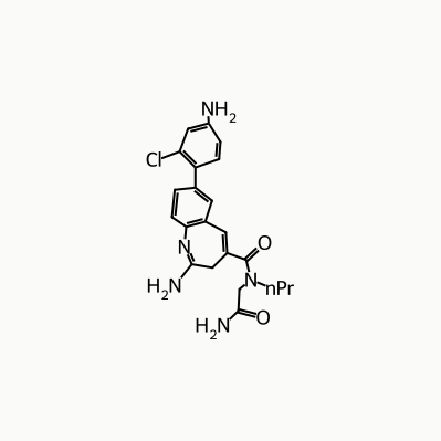 CCCN(CC(N)=O)C(=O)C1=Cc2cc(-c3ccc(N)cc3Cl)ccc2N=C(N)C1